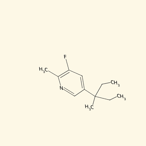 CCC(C)(CC)c1cnc(C)c(F)c1